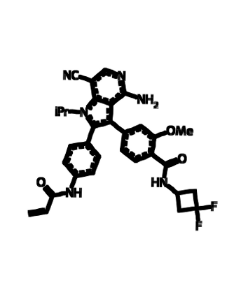 C=CC(=O)Nc1ccc(-c2c(-c3ccc(C(=O)NC4CC(F)(F)C4)c(OC)c3)c3c(N)ncc(C#N)c3n2C(C)C)cc1